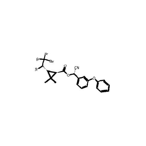 CC1(C)[C@H](C(=O)O[C@H](C#N)c2cccc(Oc3ccccc3)c2)[C@H]1C(Br)C(Br)(Br)Br